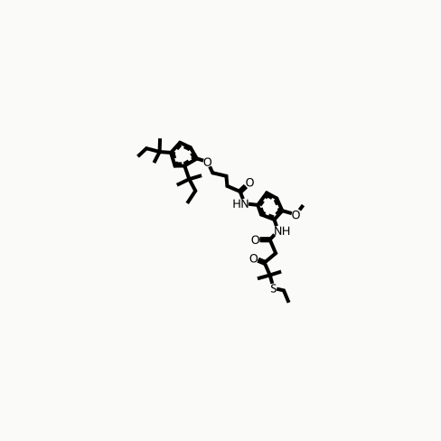 CCSC(C)(C)C(=O)CC(=O)Nc1cc(NC(=O)CCCOc2ccc(C(C)(C)CC)cc2C(C)(C)CC)ccc1OC